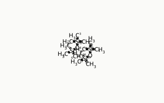 C[Si](C)(C)O[Si](C)(C)C.C[Si](C)(C)O[Si](C)(C)C